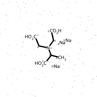 CC(C(=O)O)N(CC(=O)O)CC(=O)O.[Na].[Na].[Na]